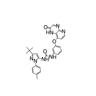 Cc1ccc(-n2nc(C(C)(C)C)cc2NC(=O)Nc2cccc(Oc3ccnc4ncc(=O)[nH]c34)c2)cc1